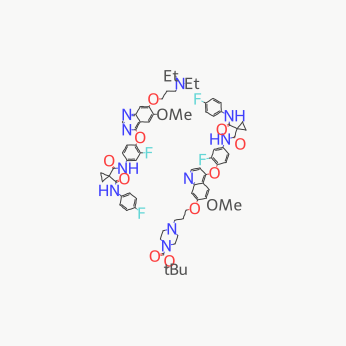 CCN(CC)CCCOc1cc2ncnc(Oc3ccc(NC(=O)C4(C(=O)Nc5ccc(F)cc5)CC4)cc3F)c2cc1OC.COc1cc2c(Oc3ccc(NC(=O)C4(C(=O)Nc5ccc(F)cc5)CC4)cc3F)ccnc2cc1OCCCN1CCN(C(=O)OC(C)(C)C)CC1